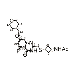 CC(=O)N[C@H]1C[C@H](SCc2nc3cc(OCC4CCOCC4)cc(F)c3c(=O)[nH]2)C1